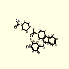 O=C(C[C@H]1CC[C@H](C(=O)O)CC1)N1CCc2c(n(Cc3cc(F)c(F)cc3F)c3ncccc23)C1